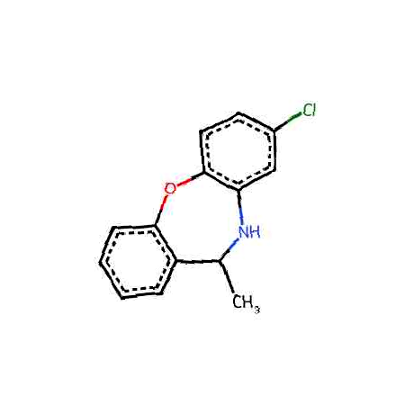 CC1Nc2cc(Cl)ccc2Oc2ccccc21